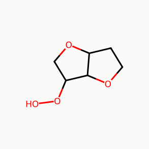 OOC1COC2CCOC12